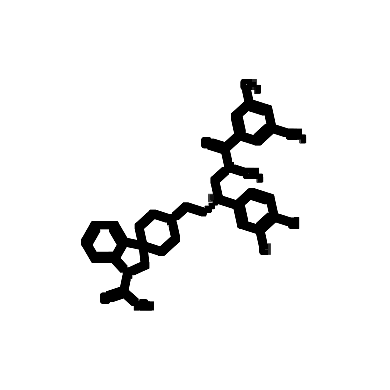 CCCCC(=O)N1CC2(CCN(CC[C@H](CN(C)C(=O)c3cc(C)cc(C)c3)c3ccc(Cl)c(Cl)c3)CC2)c2ccccc21